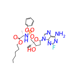 C#C[C@]1(CO[P@@](=O)(N[C@@H](C)C(=O)OCCCCCC)Oc2ccccc2)O[C@@H](n2cnc3c(N)nc(F)nc32)C[C@@H]1O